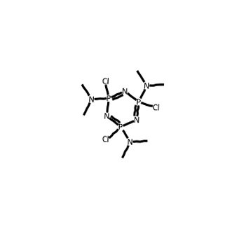 CN(C)P1(Cl)=NP(Cl)(N(C)C)=NP(Cl)(N(C)C)=N1